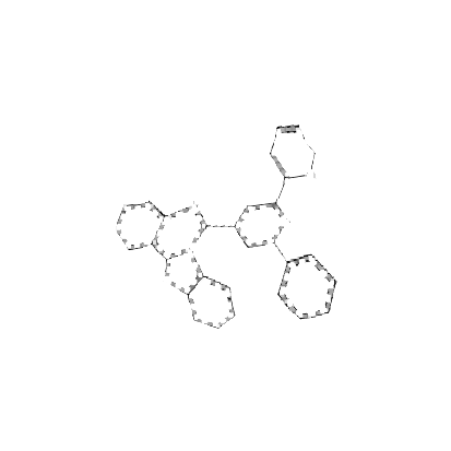 C1=CCNC(c2cc(-c3nc4ccccc4c4nc5ccccc5n34)cc(-c3ccccc3)n2)=C1